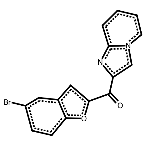 O=C(c1cn2ccccc2n1)c1cc2cc(Br)ccc2o1